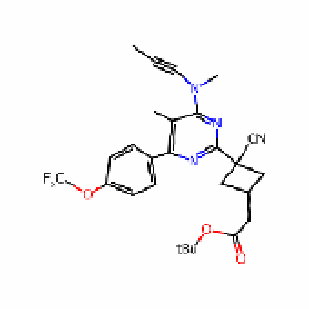 CC#CN(C)c1nc(C2(C#N)CC(CC(=O)OC(C)(C)C)C2)nc(-c2ccc(OC(F)(F)F)cc2)c1C